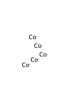 [Co].[Co].[Co].[Co].[Co]